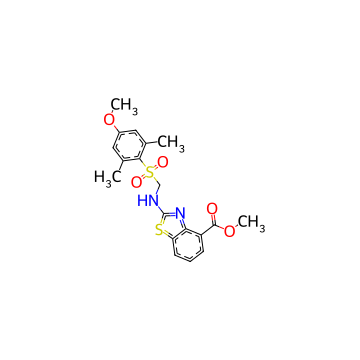 COC(=O)c1cccc2sc(NCS(=O)(=O)c3c(C)cc(OC)cc3C)nc12